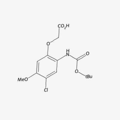 COc1cc(OCC(=O)O)c(NC(=O)OC(C)(C)C)cc1Cl